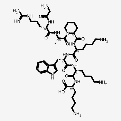 C[C@H](NC(=O)[C@H](CCCNC(=N)N)NC(=O)CN)C(=O)N1CCCC[C@H]1C(=O)N[C@@H](CCCCN)C(=O)N[C@@H](Cc1c[nH]c2ccccc12)C(=O)N[C@@H](CCCCN)C(=O)N[C@@H](CCCCN)C(=O)O